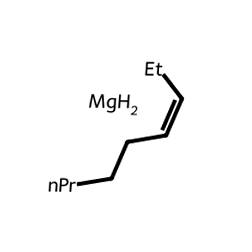 [CH2]C/C=C\CCCCC.[MgH2]